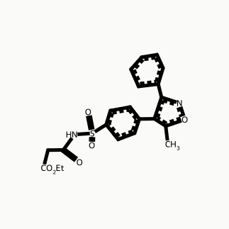 CCOC(=O)CC(=O)NS(=O)(=O)c1ccc(-c2c(-c3ccccc3)noc2C)cc1